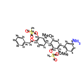 COc1cc(-c2cccc(N)c2)c(OC)c(OS(C)(=O)=O)c1-c1ccc(OCc2ccccc2)c(OS(C)(=O)=O)c1